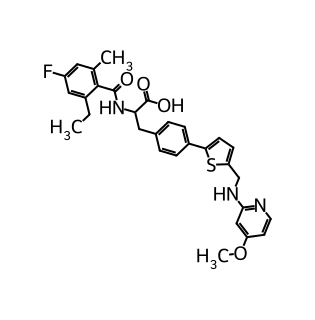 CCc1cc(F)cc(C)c1C(=O)NC(Cc1ccc(-c2ccc(CNc3cc(OC)ccn3)s2)cc1)C(=O)O